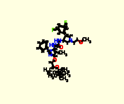 COCCN1C[C@@H](NC(=O)Nc2c(C)c(OC[C@H](C)O[Si](C)(C)C(C)(C)C)nn2-c2ccccc2)[C@H](c2cc(F)cc(F)c2)C1